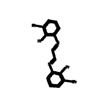 CC(C)c1cccc(N=CC=Nc2cccc(C(C)C)c2C(C)C)c1C(C)C